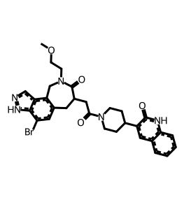 COCCN1Cc2c(cc(Br)c3[nH]ncc23)CC(CC(=O)N2CCC(c3cc4ccccc4[nH]c3=O)CC2)C1=O